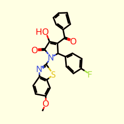 COc1ccc2nc(N3C(=O)C(O)=C(C(=O)c4ccccc4)C3c3ccc(F)cc3)sc2c1